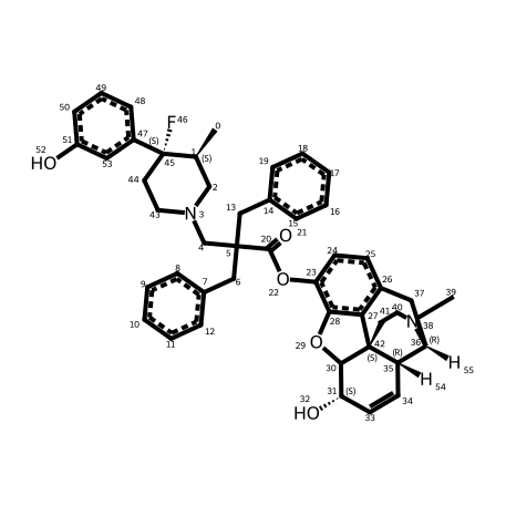 C[C@H]1CN(CC(Cc2ccccc2)(Cc2ccccc2)C(=O)Oc2ccc3c4c2OC2[C@@H](O)C=C[C@H]5[C@@H](C3)N(C)CC[C@]425)CC[C@@]1(F)c1cccc(O)c1